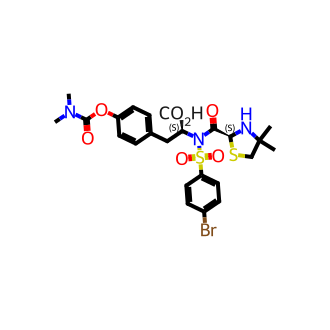 CN(C)C(=O)Oc1ccc(C[C@@H](C(=O)O)N(C(=O)[C@H]2NC(C)(C)CS2)S(=O)(=O)c2ccc(Br)cc2)cc1